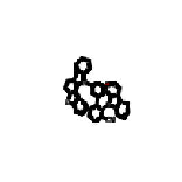 N#Cc1cc(-c2cccc(C#N)c2-n2c3ccccc3c3ccccc32)cc(-n2c3ccccc3c3ccc4oc5ccccc5c4c32)c1